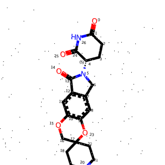 O=C1CC[C@H](N2Cc3cc4c(cc3C2=O)OCC2(CCNCC2)O4)C(=O)N1